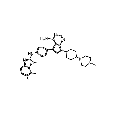 Cc1c(F)ccc2nc(Nc3ccc(-c4cn(C5CCC(N6CCN(C)CC6)CC5)c5ncnc(N)c45)cc3)n(C)c12